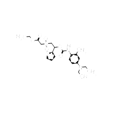 CCOC(=O)CS(=O)(=O)CC(OC(=O)Nc1ccc(N(CC)CC)cc1C)c1cccs1